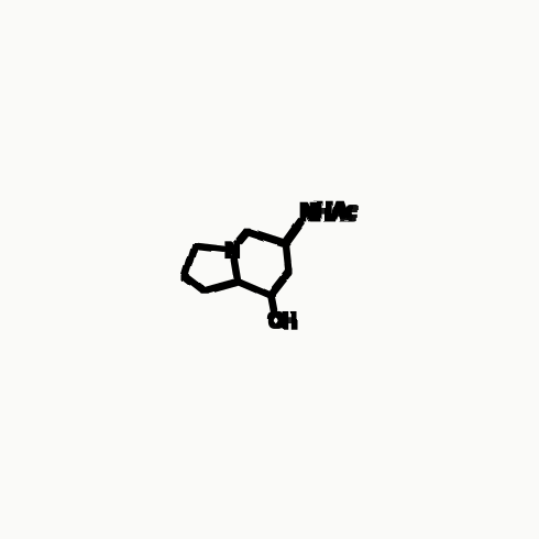 CC(=O)NC1CC(O)C2CCCN2C1